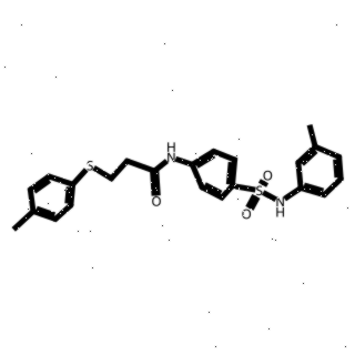 Cc1ccc(SCCC(=O)Nc2ccc(S(=O)(=O)Nc3cccc(C)c3)cc2)cc1